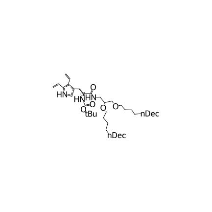 C=Cc1[nH]cc(C[C@H](NC(=O)OC(C)(C)C)C(=O)NCC(COCCCCCCCCCCCCCC)OCCCCCCCCCCCCCC)c1C=C